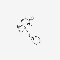 Cn1c(=O)ccc2nccc(CCN3CC[CH]CC3)c21